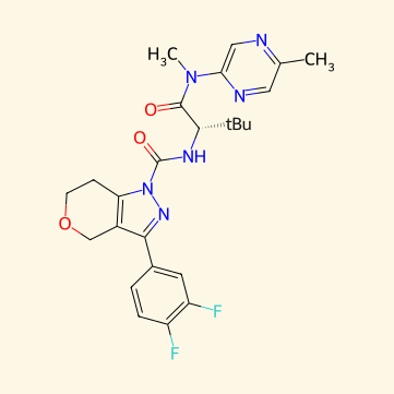 Cc1cnc(N(C)C(=O)[C@@H](NC(=O)n2nc(-c3ccc(F)c(F)c3)c3c2CCOC3)C(C)(C)C)cn1